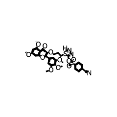 COc1cc(OC)c2c(=O)c(OCCC[SH]3C=NN=C3OS(=O)(=O)c3ccc(C#N)cc3)c(-c3cc(OC)c(OC)c(OC)c3)oc2c1